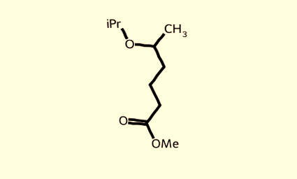 COC(=O)CCCC(C)OC(C)C